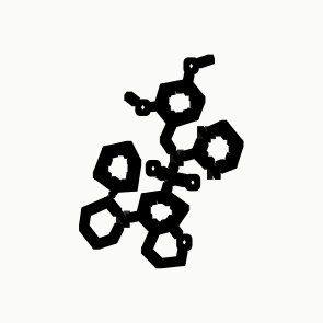 COc1ccc(CN(c2ncccn2)S(=O)(=O)c2cc3c(c(N4CCCC[C@@H]4c4ccccc4)c2)CCCO3)c(OC)c1